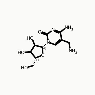 NCc1cn([C@@H]2O[C@H](CO)C(O)C2O)c(=O)nc1N